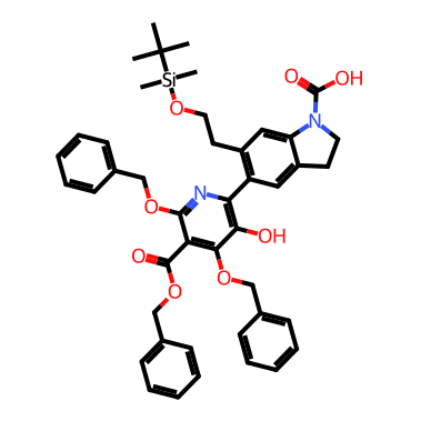 CC(C)(C)[Si](C)(C)OCCc1cc2c(cc1-c1nc(OCc3ccccc3)c(C(=O)OCc3ccccc3)c(OCc3ccccc3)c1O)CCN2C(=O)O